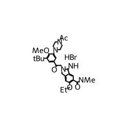 Br.CCOc1cc2c(cc1C(=O)NC)C(=N)N(CC(=O)c1cc(N3CCN(C(C)=O)CC3)c(OC)c(C(C)(C)C)c1)C2